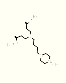 CN1CCN(CCCCN(CCC(=O)OC(C)(C)C)CCC(=O)OC(C)(C)C)CC1